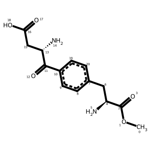 COC(=O)[C@@H](N)Cc1ccc(C(=O)[C@@H](N)CC(=O)O)cc1